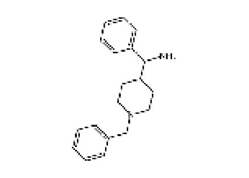 NC(c1ccccc1)C1CCN(Cc2ccccc2)CC1